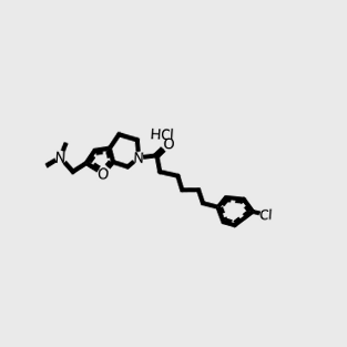 CN(C)Cc1cc2c(o1)CN(C(=O)CCCCCc1ccc(Cl)cc1)CC2.Cl